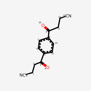 N#CCCC(=O)c1ccc(C(=O)CCC#N)cc1